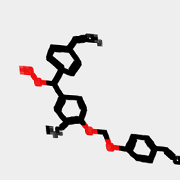 C=Cc1ccc(OCOc2ccc(C(OO)c3ccc(C=C)cc3)cc2C)cc1